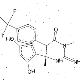 CN1C(=N)N[C@](C)(c2sc(O)cc2O)C(c2ccc(C(C)(F)F)cc2)C1=O